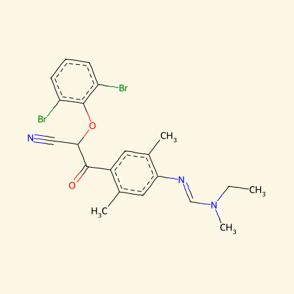 CCN(C)C=Nc1cc(C)c(C(=O)C(C#N)Oc2c(Br)cccc2Br)cc1C